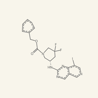 O=C(OCc1ccccc1)N1C[C@@H](Nc2ncc3cncc(I)c3n2)CC(F)(F)C1